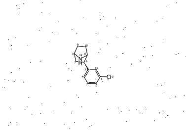 Clc1cccc([C@H]2CC3CCC2N3)c1